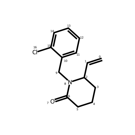 C=CC1CCCC(=O)N1Cc1ccccc1Cl